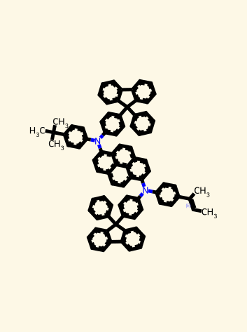 C/C=C(\C)c1ccc(N(c2ccc(C3(c4ccccc4)c4ccccc4-c4ccccc43)cc2)c2ccc3ccc4c(N(c5ccc(C(C)(C)C)cc5)c5ccc(C6(c7ccccc7)c7ccccc7-c7ccccc76)cc5)ccc5ccc2c3c54)cc1